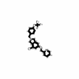 FC(F)(F)Oc1ccc(CN2Cc3cc(OCc4ccccn4)cc(Cl)c3C2)cc1